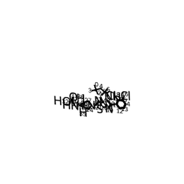 CC(C)(C)CC(C)(C)Nc1c(-c2cccc(Cl)c2Cl)nc2sc(N3C[C@@H]4[C@H](C3)[C@H]4NC(=O)O)nn12